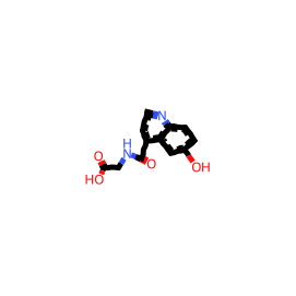 O=C(O)CNC(=O)c1ccnc2ccc(O)cc12